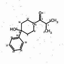 CC(C)C(=O)N1CCC(O)(c2ccccc2)CC1